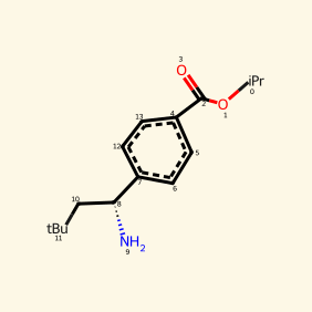 CC(C)OC(=O)c1ccc([C@H](N)CC(C)(C)C)cc1